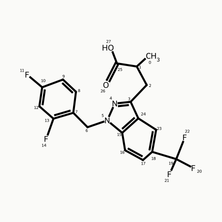 CC(Cc1nn(Cc2ccc(F)cc2F)c2ccc(C(F)(F)F)cc12)C(=O)O